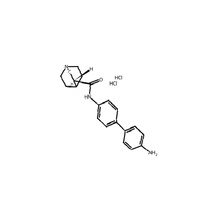 Cl.Cl.Nc1ccc(-c2ccc(NC(=O)[C@H]3CN4CCC3CC4)cc2)cc1